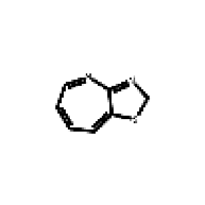 C1=CC=C2SCN=C2N=C1